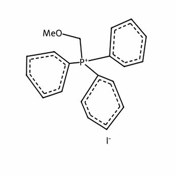 COC[P+](c1ccccc1)(c1ccccc1)c1ccccc1.[I-]